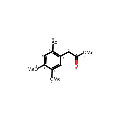 COC(=O)Cc1cc(OC)c(OC)cc1C(C)=O